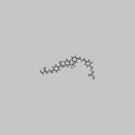 C=CC(=O)OCOc1ccc(OCOc2ccc3c(c2)C(C)(C)c2cc(OC(=O)c4ccc(OCOC(=O)C=C)cc4)ccc2-3)cc1